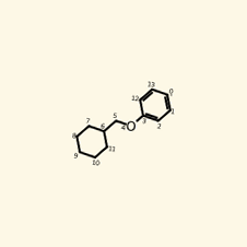 [c]1ccc(OCC2CCCCC2)cc1